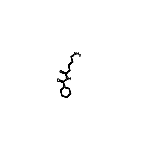 NCCCCC(=O)NC(=O)N1CCCCC1